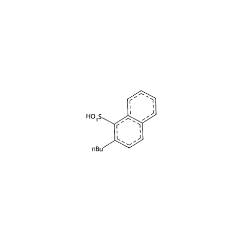 CCCCc1ccc2ccccc2c1S(=O)(=O)O